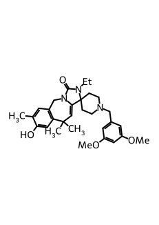 CCN1C(=O)N2Cc3cc(C)c(O)cc3C(C)(C)C=C2C12CCN(Cc1cc(OC)cc(OC)c1)CC2